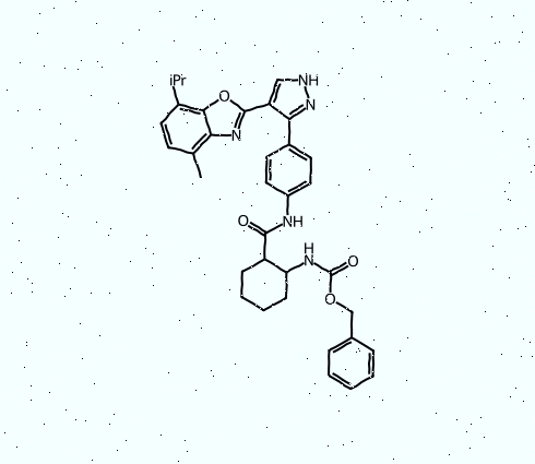 Cc1ccc(C(C)C)c2oc(-c3c[nH]nc3-c3ccc(NC(=O)C4CCCCC4NC(=O)OCc4ccccc4)cc3)nc12